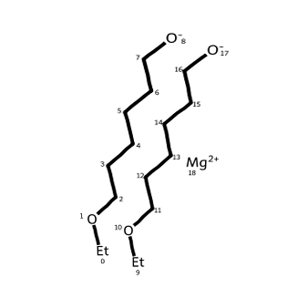 CCOCCCCCC[O-].CCOCCCCCC[O-].[Mg+2]